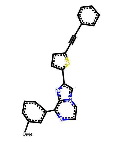 COc1cccc(-c2nccn3[c]c(-c4ccc(C#Cc5ccccc5)s4)nc23)c1